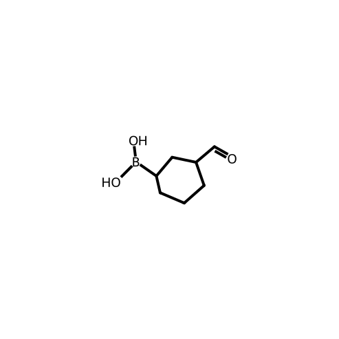 O=CC1CCCC(B(O)O)C1